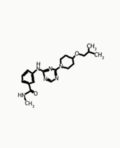 CNC(=O)c1cccc(Nc2ncnc(N3CCC(OCC(C)C)CC3)n2)c1